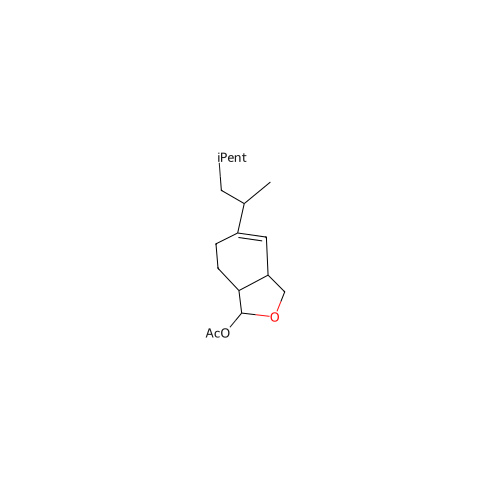 CCCC(C)CC(C)C1=CC2COC(OC(C)=O)C2CC1